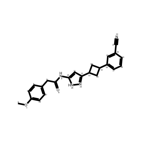 COc1ccc(CC(=O)Nc2cc(C3CC(c4cccc(C#N)c4)C3)n[nH]2)cc1